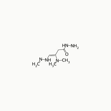 C=NN/C=C(/CC(=O)NN)N(C)C